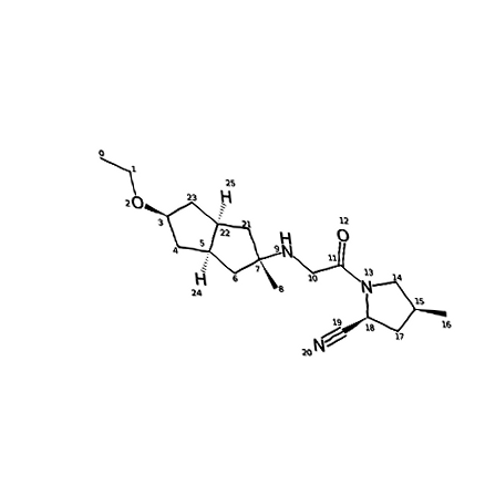 CCO[C@@H]1C[C@@H]2C[C@@](C)(NCC(=O)N3C[C@@H](C)C[C@H]3C#N)C[C@@H]2C1